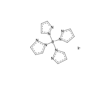 [Ir].c1cnn([B-](n2cccn2)(n2cccn2)n2cccn2)c1